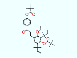 C=CC(C)(C)c1cc(C=CC(=O)c2ccc(OC(=O)C(C)(C)C)cc2)c(OCC)c(C(C)(C)C=C)c1OC(=O)C(C)(C)C